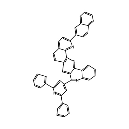 c1ccc(-c2cc(-c3nc4ccccc4c4nc5c(ccc6ccc(-c7ccc8ccccc8c7)nc65)cc34)cc(-c3ccccc3)n2)cc1